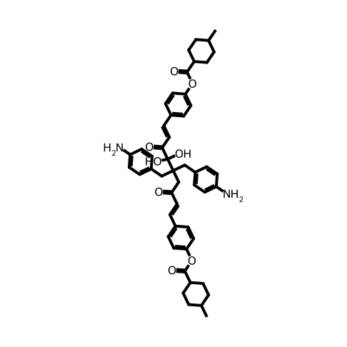 CC1CCC(C(=O)Oc2ccc(C=CC(=O)CC(Cc3ccc(N)cc3)(Cc3ccc(N)cc3)C(O)(O)C(=O)C=Cc3ccc(OC(=O)C4CCC(C)CC4)cc3)cc2)CC1